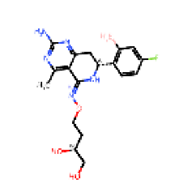 Bc1cc(F)ccc1[C@H]1Cc2nc(N)nc(C)c2/C(=N/OCC[C@H](O)CO)N1